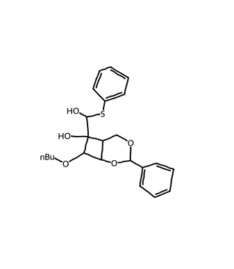 CCCCOC1C2OC(c3ccccc3)OCC2C1(O)C(O)Sc1ccccc1